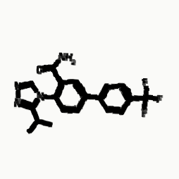 CC(C)c1nncn1-c1ccc(-c2ccc(C(F)(F)F)cc2)cc1C(N)=O